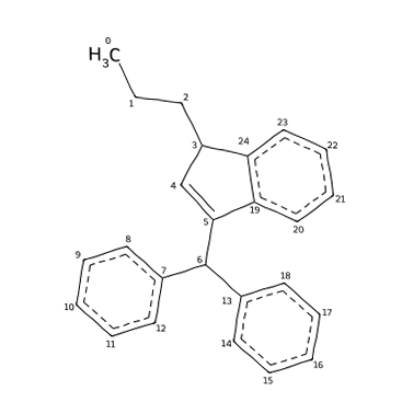 CCCC1C=C(C(c2ccccc2)c2ccccc2)c2ccccc21